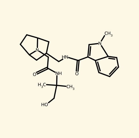 Cn1cc(C(=O)NCC2CC3CCC(C2)N3CC(=O)NC(C)(C)CO)c2ccccc21